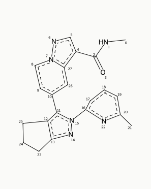 CNC(=O)c1cnn2ccc(-c3c4c(nn3-c3cccc(C)n3)CCC4)cc12